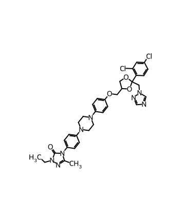 CCn1nc(C)n(-c2ccc(N3CCN(c4ccc(OCC5COC(Cn6cncn6)(c6ccc(Cl)cc6Cl)O5)cc4)CC3)cc2)c1=O